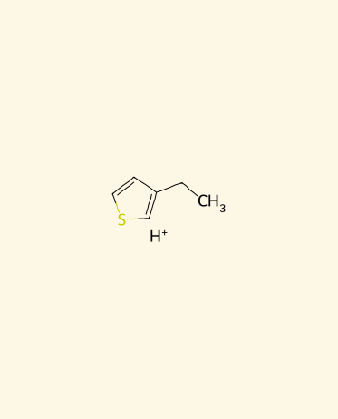 CCc1ccsc1.[H+]